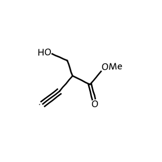 [C]#CC(CO)C(=O)OC